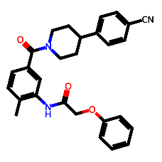 Cc1ccc(C(=O)N2CCC(c3ccc(C#N)cc3)CC2)cc1NC(=O)COc1ccccc1